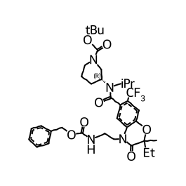 CCC1(C)Oc2cc(C(F)(F)F)c(C(=O)N(C(C)C)[C@@H]3CCCN(C(=O)OC(C)(C)C)C3)cc2N(CCNC(=O)OCc2ccccc2)C1=O